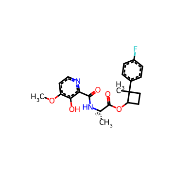 COc1ccnc(C(=O)N[C@@H](C)C(=O)OC2CCC2(C)c2ccc(F)cc2)c1O